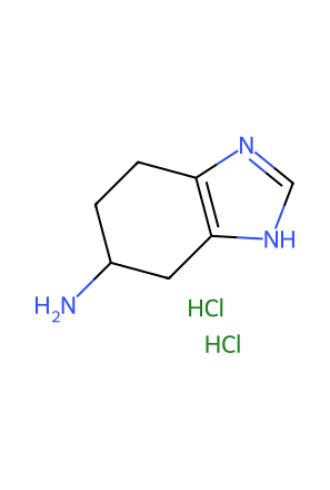 Cl.Cl.NC1CCc2nc[nH]c2C1